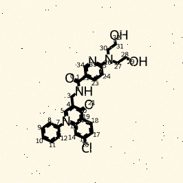 O=C(NCc1cn(-c2ccccc2)c2cc(Cl)ccc2c1=O)c1ccc(N(CCO)CCO)nc1